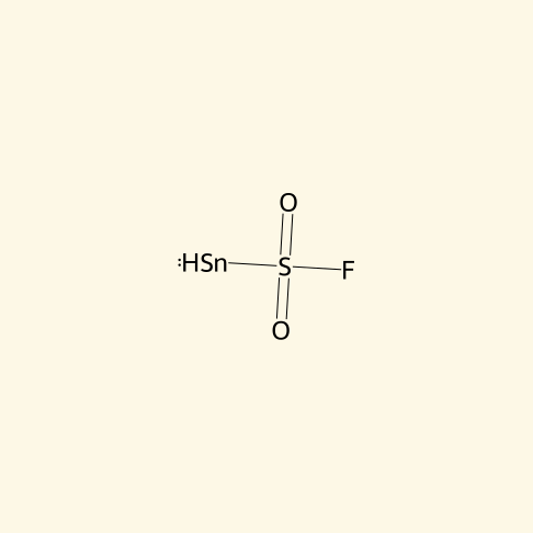 O=[S](=O)(F)[SnH]